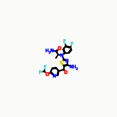 C[C@@H](C(N)=O)N(c1ccc(F)c(F)c1)c1nc(N)c(C(=O)c2ccc(OC(F)F)nc2)s1